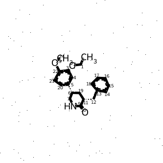 CCOc1cc([C@H]2CNC(=O)[C@@H](Cc3ccccc3)C2)ccc1OC